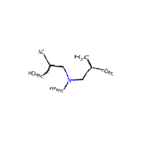 CCCCCCCCCCC(C)CN(CCCCC)CC(C#N)CCCCCCCCCC